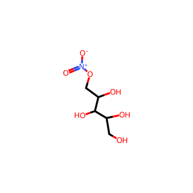 O=[N+]([O-])OCC(O)C(O)C(O)CO